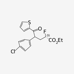 CCOC(=O)[C@@H](F)CC(C(=O)c1cccs1)c1ccc(Cl)cc1